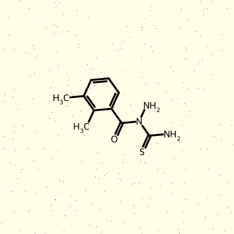 Cc1cccc(C(=O)N(N)C(N)=S)c1C